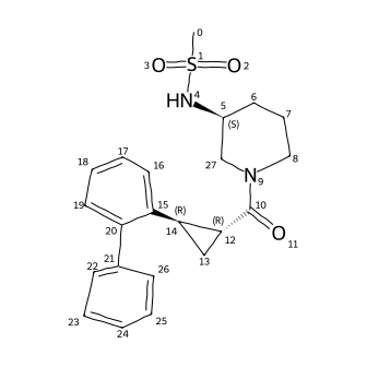 CS(=O)(=O)N[C@H]1CCCN(C(=O)[C@@H]2C[C@H]2c2ccccc2-c2ccccc2)C1